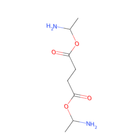 CC(N)OC(=O)CCC(=O)OC(C)N